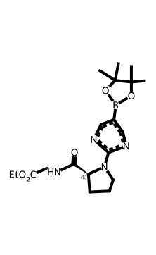 CCOC(=O)CNC(=O)[C@@H]1CCCN1c1ncc(B2OC(C)(C)C(C)(C)O2)cn1